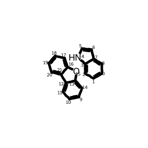 c1ccc2[nH]ccc2c1.c1ccc2c(c1)oc1ccccc12